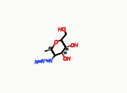 C[C@@H]1OC(CO)[C@H](O)[C@H](O)C1N=[N+]=[N-]